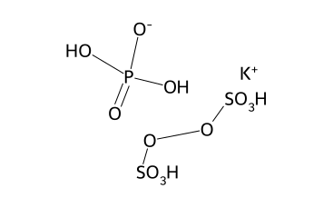 O=P([O-])(O)O.O=S(=O)(O)OOS(=O)(=O)O.[K+]